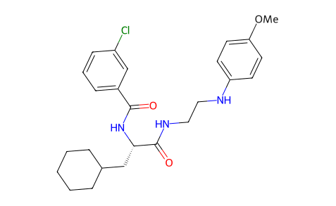 COc1ccc(NCCNC(=O)[C@H](CC2CCCCC2)NC(=O)c2cccc(Cl)c2)cc1